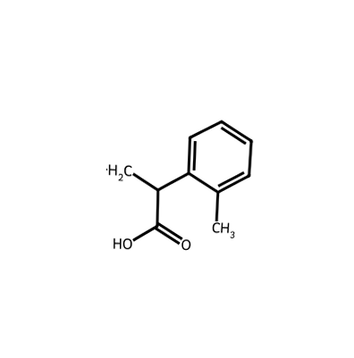 [CH2]C(C(=O)O)c1ccccc1C